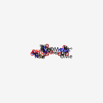 C=C1C[C@H]2C(=O)Nc3cc(OCCCCCOc4cc5c(cc4OC)C(=O)N4CC(=C)C[C@H]4[C@H](O)N5C(=O)OC[C@@H](C)SSc4ccc([N+](=O)O)cn4)c(OC)cc3C(=O)N2C1